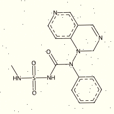 CNS(=O)(=O)NC(=O)N(c1ccccc1)N1CN=Cc2cnccc21